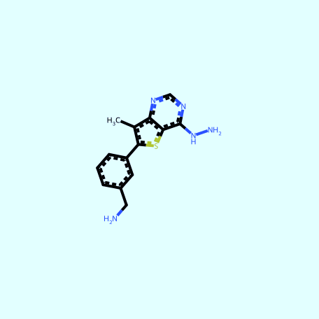 Cc1c(-c2cccc(CN)c2)sc2c(NN)ncnc12